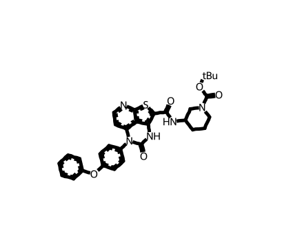 CC(C)(C)OC(=O)N1CCCC(NC(=O)c2sc3nccc4c3c2NC(=O)N4c2ccc(Oc3ccccc3)cc2)C1